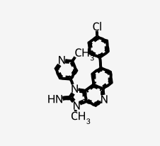 Cc1cc(-n2c(=N)n(C)c3cnc4ccc(-c5ccc(Cl)cc5)cc4c32)ccn1